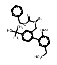 CCN(Cc1cc(C(C)(C)O)ccc1-c1cc(CC(=O)O)ccc1OC)C(=O)OCc1ccccc1